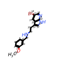 COc1cccc(CNCCc2c[nH]c3ncc(Br)cc23)c1